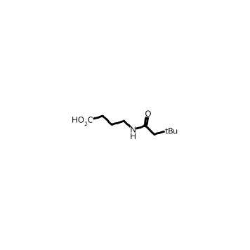 CC(C)(C)CC(=O)NCCCC(=O)O